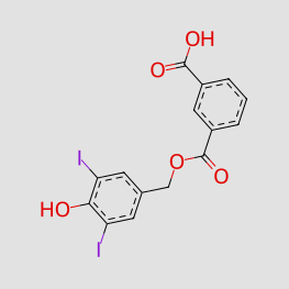 O=C(O)c1cccc(C(=O)OCc2cc(I)c(O)c(I)c2)c1